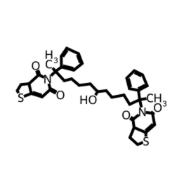 CC(CCCCC(O)CCCCC(C)(c1ccccc1)N1C(=O)C=C2SCCC2C1=O)(c1ccccc1)N1C(=O)C=C2SCCC2C1=O